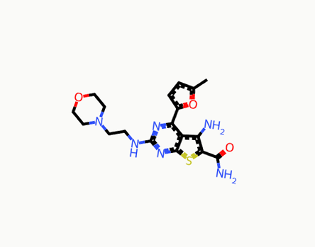 Cc1ccc(-c2nc(NCCN3CCOCC3)nc3sc(C(N)=O)c(N)c23)o1